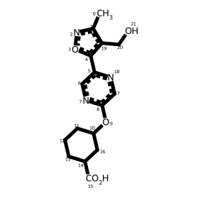 Cc1noc(-c2cnc(OC3CCCC(C(=O)O)C3)cn2)c1CO